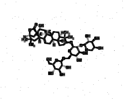 CC1(C)C[C@H]2C3=CC[C@@H]4[C@@]5(C)CC[C@H](O[C@@H]6O[C@H](CO[C@@H]7O[C@H](CO)[C@@H](O)[C@H](O)[C@H]7O)[C@@H](O)[C@H](O)[C@H]6O[C@@H]6OC[C@H](O)[C@H](O)[C@H]6O)C(C)(C)[C@@H]5CC[C@@]4(C)[C@]3(C)C[C@@H](O)[C@@]23C[C@@H]1OC3=O